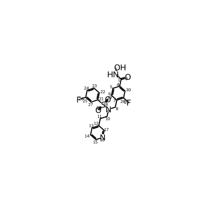 O=C(NO)c1ccc(CN(CCc2cccnc2)S(=O)(=O)c2cccc(F)c2)c(F)c1